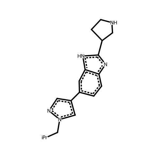 CC(C)Cn1cc(-c2ccc3nc(C4CCNC4)[nH]c3c2)cn1